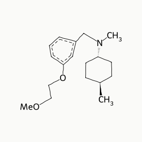 COCCOc1cccc(CN(C)[C@H]2CC[C@H](C)CC2)c1